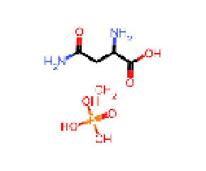 NC(=O)CC(N)C(=O)O.O.O=P(O)(O)O